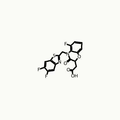 O=C(O)CC1Oc2cccc(F)c2N(Cc2nc3cc(F)c(F)cc3s2)C1=O